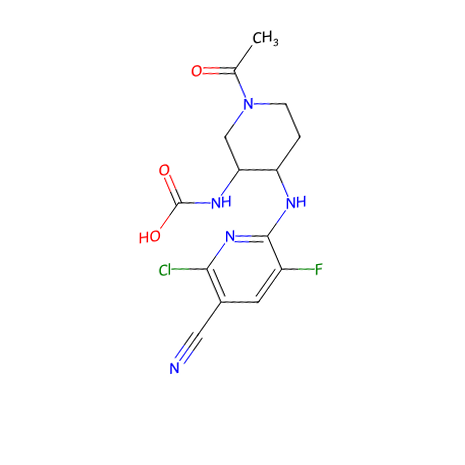 CC(=O)N1CCC(Nc2nc(Cl)c(C#N)cc2F)C(NC(=O)O)C1